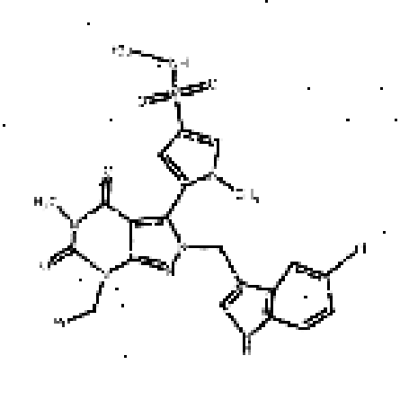 CC(C)Cn1c(=O)n(C)c(=O)c2c(-c3cc(S(=O)(=O)NC(C)(C)C)cn3C)n(Cc3c[nH]c4ccc(Cl)cc34)nc21